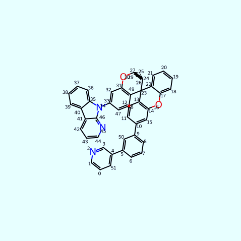 c1cncc(-c2cccc(-c3ccc4c(c3)Oc3ccccc3C43c4ccccc4Oc4cc(-n5c6ccccc6c6cccnc65)ccc43)c2)c1